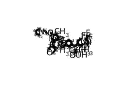 Cc1ccc([C@@H](c2ccn3c(C(F)(F)F)nnc3c2C)C(C)(C)C(=O)O)cc1CN1CC2(CCOCC2)Oc2nc(OCCN3CCCC3)c(C)cc2S1(=O)=O